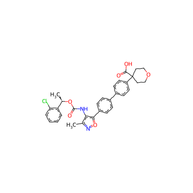 Cc1noc(-c2ccc(-c3ccc(C4(C(=O)O)CCOCC4)cc3)cc2)c1NC(=O)O[C@H](C)c1ccccc1Cl